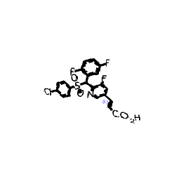 O=C(O)/C=C/c1cnc(C(c2cc(F)ccc2F)S(=O)(=O)c2ccc(Cl)cc2)c(F)c1